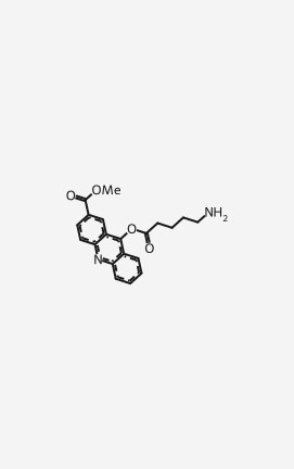 COC(=O)c1ccc2nc3ccccc3c(OC(=O)CCCCN)c2c1